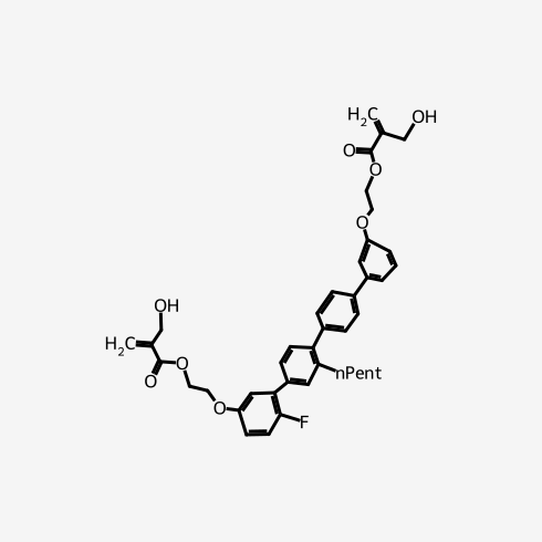 C=C(CO)C(=O)OCCOc1cccc(-c2ccc(-c3ccc(-c4cc(OCCOC(=O)C(=C)CO)ccc4F)cc3CCCCC)cc2)c1